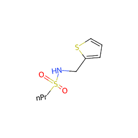 CCCS(=O)(=O)NCc1cccs1